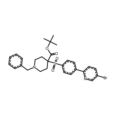 CC(C)(C)OC(=O)C1(S(=O)(=O)c2ccc(-c3ccc(Br)cn3)cc2)CCN(Cc2ccccc2)CC1